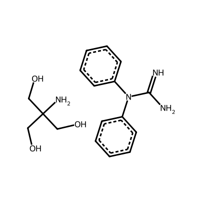 N=C(N)N(c1ccccc1)c1ccccc1.NC(CO)(CO)CO